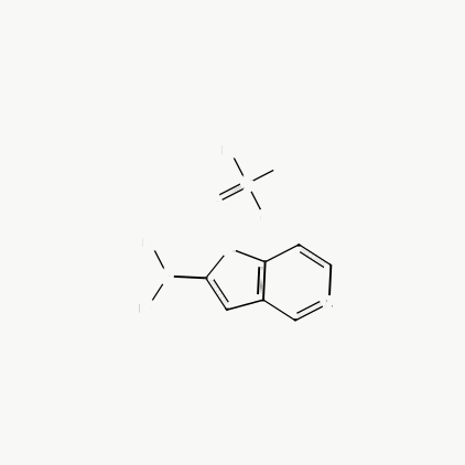 O=P(O)(O)O.OB(O)c1cc2cnccc2s1